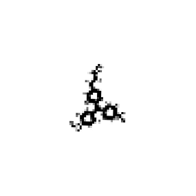 COc1ccc(C(c2ccc(CC[C]=O)cc2)c2ccc(OC)cc2)cc1